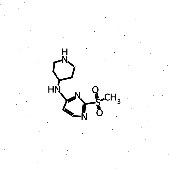 CS(=O)(=O)c1nccc(NC2CCNCC2)n1